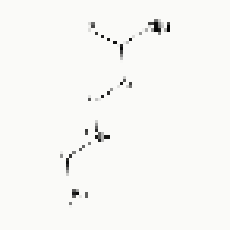 CC(CCNCC(C)(C)C)C(C)(C)C